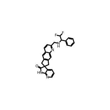 O=C1Nc2ncccc2C12Cc1cc3ccc(CNC(c4ccccc4)C(F)F)nc3cc1C2